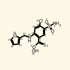 NS(=O)(=O)c1cc(C(=S)OO)c(NCc2ccco2)cc1Cl